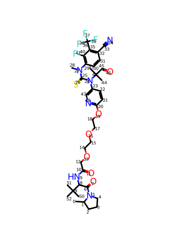 CC1CCCN1C(=O)C(NC(=O)COCCOCCOc1ccc(N(C(=S)N(C)c2ccc(C#N)c(C(F)(F)F)c2F)C(C)(C)C=O)cn1)C(C)(C)C